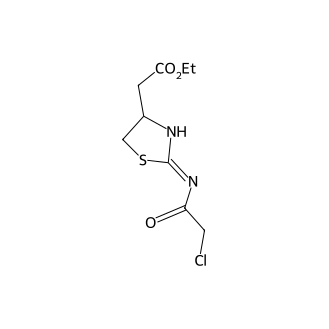 CCOC(=O)CC1CSC(=NC(=O)CCl)N1